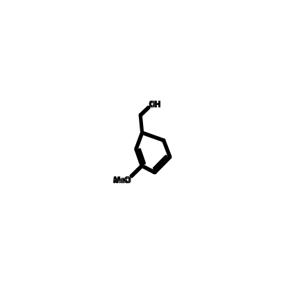 COC1=CC(CO)CC=C1